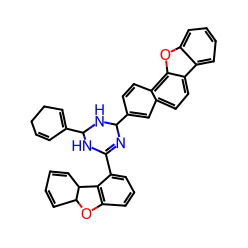 C1=CC2Oc3cccc(C4=NC(c5ccc6c(ccc7c8ccccc8oc67)c5)NC(C5=CCCC=C5)N4)c3C2C=C1